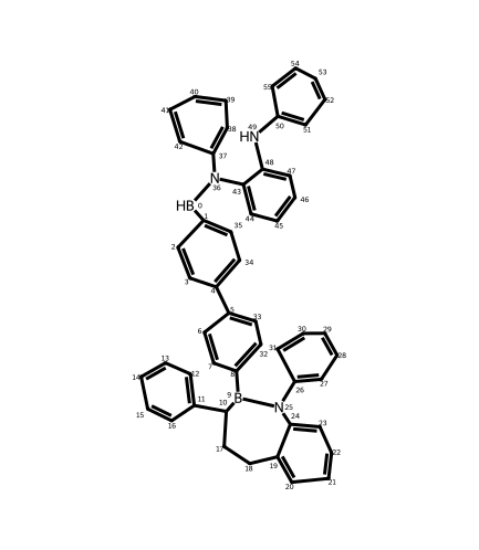 B(c1ccc(-c2ccc(B3C(c4ccccc4)CCc4ccccc4N3c3ccccc3)cc2)cc1)N(c1ccccc1)c1ccccc1Nc1ccccc1